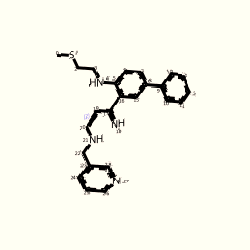 CSCCNc1ccc(-c2ccccc2)cc1C(=N)/C=C\NCc1cccnc1